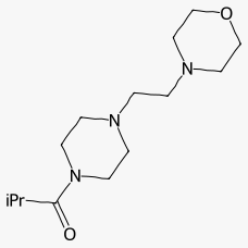 CC(C)C(=O)N1CCN(CCN2CCOCC2)CC1